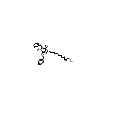 C=CCCCCCCCCCOC(=O)C(Cc1ccccc1)NC(=O)OCc1ccccc1